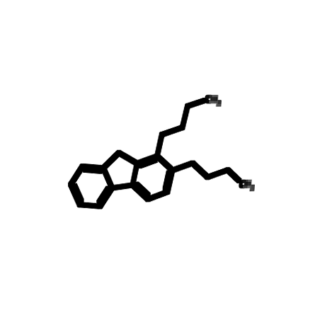 CCCCc1ccc2c(c1CCCC)Cc1ccccc1-2